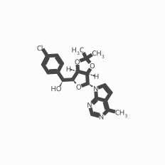 Cc1ncnc2c1ccn2[C@@H]1O[C@H]([C@H](O)c2ccc(Cl)cc2)[C@H]2OC(C)(C)O[C@H]21